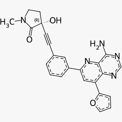 CN1CC[C@@](O)(C#Cc2cccc(-c3cc(-c4ccco4)c4ncnc(N)c4n3)c2)C1=O